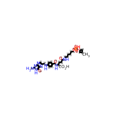 CC1CC(OP(=O)(O)OCCCCCCNC(=O)CC[C@H](NC(=O)c2ccc(NCc3cnc4nc(N)[nH]c(=O)c4n3)cc2)C(=O)O)C1